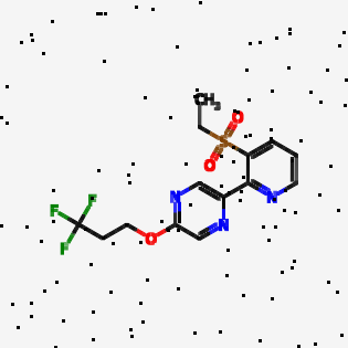 CCS(=O)(=O)c1cccnc1-c1cnc(OCCC(F)(F)F)cn1